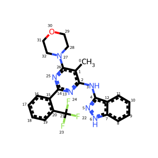 Cc1c(Nc2n[nH]c3ccccc23)nc(-c2ccccc2C(F)(F)F)nc1N1CCOCC1